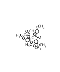 CC(=O)OC(OC(C)=O)c1ccccc1.COc1ccc2c(c1)cc(C)n2C(=O)c1cc(OC)c(OC)c(OC)c1